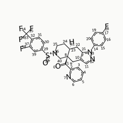 O=C(c1ccccn1)[C@]12Cc3cnn(-c4ccc(F)cc4)c3C[C@@H]1CCN([S+]([O-])c1ccc(C(F)(F)F)c(F)c1)C2